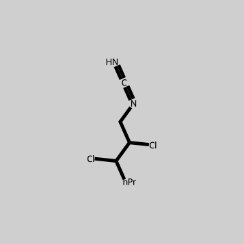 CCCC(Cl)C(Cl)CN=C=N